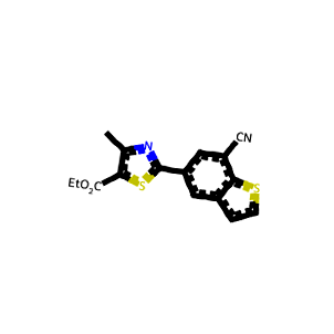 CCOC(=O)c1sc(-c2cc(C#N)c3sccc3c2)nc1C